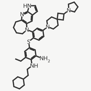 CCc1cc(Sc2ccc(N3CCC4(CC3)CC(N3CCCC3)C4)cc2N2CCCCc3nc4[nH]ccc4cc32)cc(N)c1NCCC1CCCCC1